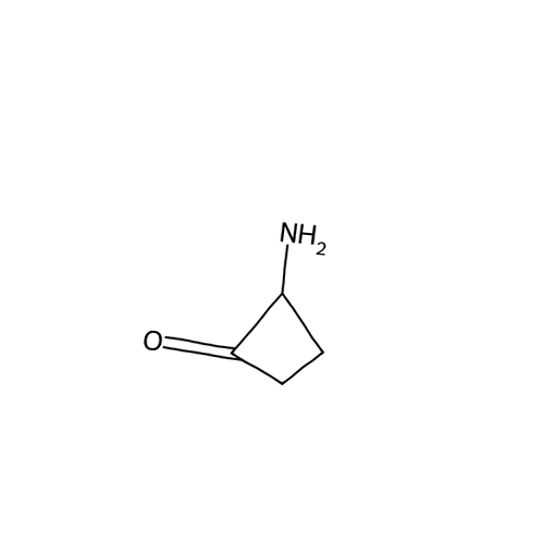 NC1CCC1=O